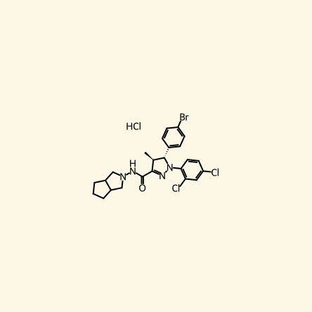 C[C@@H]1C(C(=O)NN2CC3CCCC3C2)=NN(c2ccc(Cl)cc2Cl)[C@H]1c1ccc(Br)cc1.Cl